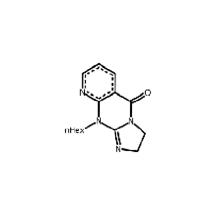 CCCCCCN1C2=NCCN2C(=O)c2cccnc21